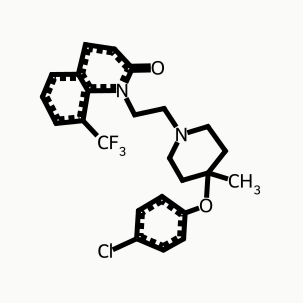 CC1(Oc2ccc(Cl)cc2)CCN(CCn2c(=O)ccc3cccc(C(F)(F)F)c32)CC1